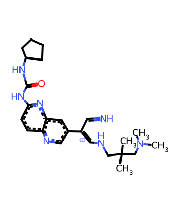 CN(C)CC(C)(C)CN/C=C(\C=N)c1cnc2ccc(NC(=O)NC3CCCC3)nc2c1